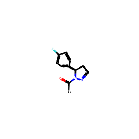 CCC(=O)N1N=CCC1c1ccc(F)cc1